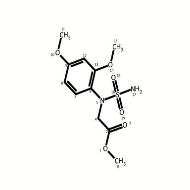 COC(=O)CN(c1ccc(OC)cc1OC)S(N)(=O)=O